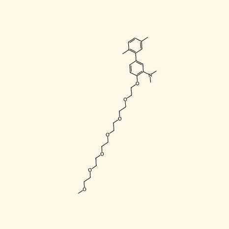 COCCOCCOCCOCCOCCOCCOc1ccc(-c2cc(C)ccc2C)cc1N(C)C